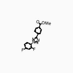 COC(=O)c1ccc(-c2nnn(-c3ccc(F)cc3F)n2)cc1